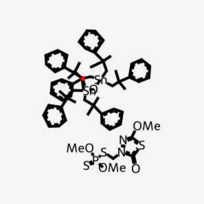 CC(C)([CH2][Sn]([CH2]C(C)(C)c1ccccc1)([CH2]C(C)(C)c1ccccc1)[O][Sn]([CH2]C(C)(C)c1ccccc1)([CH2]C(C)(C)c1ccccc1)[CH2]C(C)(C)c1ccccc1)c1ccccc1.COc1nn(CSP(=S)(OC)OC)c(=O)s1